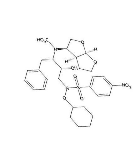 O=C(O)N([C@H]1CO[C@H]2OCC[C@H]21)[C@@H](Cc1ccccc1)[C@H](O)CN(OC1CCCCC1)S(=O)(=O)c1ccc([N+](=O)[O-])cc1